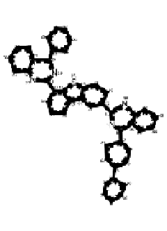 c1ccc(-c2ccc(-c3nc(-c4ccc5sc6c(-c7nc(-c8ccccc8)c8ccccc8n7)cccc6c5c4)nc4ccccc34)cc2)cc1